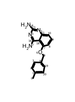 Cc1ccc(COc2cccc3nc(N)nc(N)c23)cc1